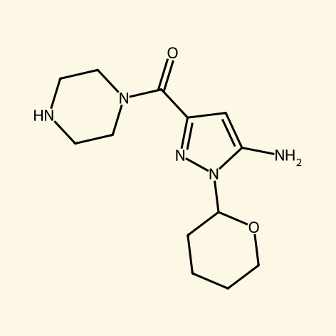 Nc1cc(C(=O)N2CCNCC2)nn1C1CCCCO1